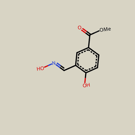 COC(=O)c1ccc(O)c(/C=N/O)c1